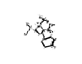 COC(=O)c1c(-c2ccc(F)cc2)cc(C(C)C)nc1C(C)C